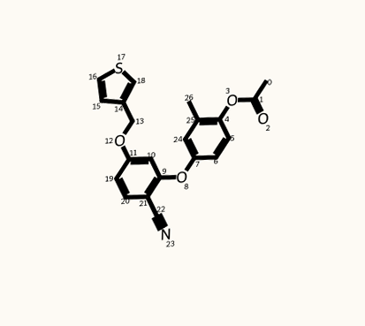 CC(=O)Oc1ccc(Oc2cc(OCc3ccsc3)ccc2C#N)cc1C